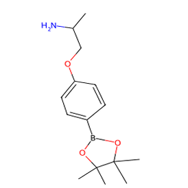 CC(N)COc1ccc(B2OC(C)(C)C(C)(C)O2)cc1